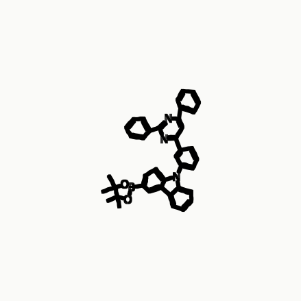 CC1(C)OB(c2ccc3c(c2)c2ccccc2n3-c2cccc(-c3cc(-c4ccccc4)nc(-c4ccccc4)n3)c2)OC1(C)C